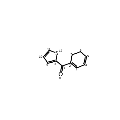 O=C(C1=CC=CCC1)c1cccs1